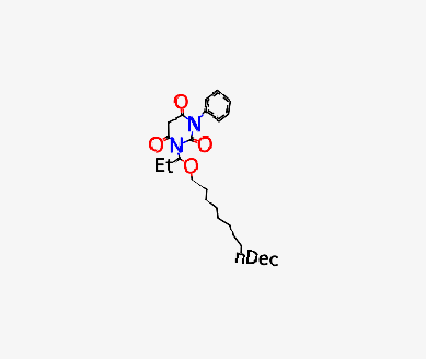 CCCCCCCCCCCCCCCCCCOC(CC)N1C(=O)CC(=O)N(c2ccccc2)C1=O